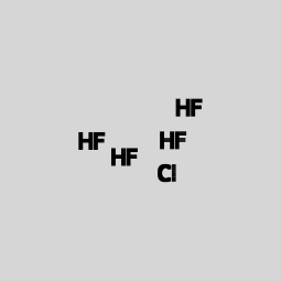 F.F.F.F.[C]